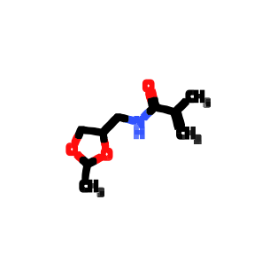 C=C(C)C(=O)NCC1COC(C)O1